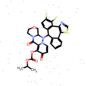 CC(C)OC(=O)Oc1c2n(ccc1=O)N(C1c3ccccc3-c3scnc3-c3c1ccc(F)c3F)C1COCCN1C2=O